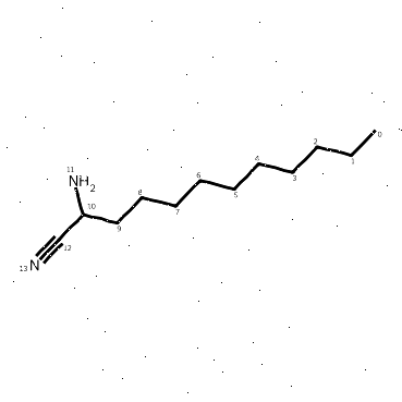 CCCCCCCCCCC(N)C#N